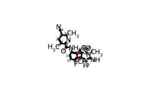 CC1=CC(C#N)C(C)N=C1C(=O)Nc1ccc(F)c([C@@]2(C)NC(=N)N(C)S(=O)(=O)C23CC3)c1